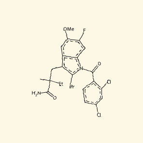 CCC(C)(Cc1c(C(C)C)n(C(=O)c2ccc(Cl)cc2Cl)c2cc(F)c(OC)cc12)C(N)=O